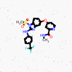 CNC(=O)c1cc(Oc2ccc3c(c2)nc(Nc2ccc(C(F)(F)F)cc2)n3S(C)(=O)=O)ccn1